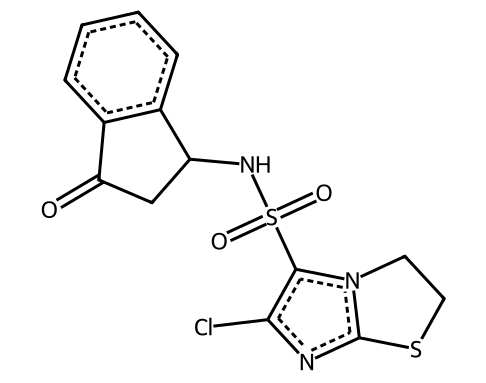 O=C1CC(NS(=O)(=O)c2c(Cl)nc3n2CCS3)c2ccccc21